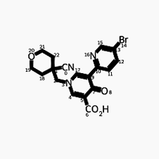 N#CC1(Cn2cc(C(=O)O)c(=O)c(-c3ccc(Br)cn3)c2)CCOCC1